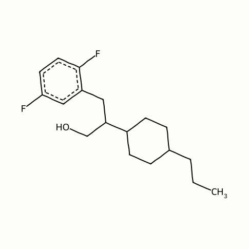 CCCC1CCC(C(CO)Cc2cc(F)ccc2F)CC1